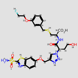 NS(=O)(=O)c1nc2ccc(OCc3cn([C@H](CCO)C(=O)N[C@@H](CSCc4cccc(OCCF)c4)C(=O)O)nn3)cc2s1